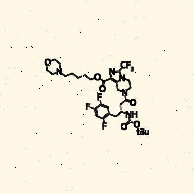 CC(C)(C)OC(=O)N[C@@H](CC(=O)N1CCn2c(C(F)(F)F)nc(C(=O)OCCCCCN3CCOCC3)c2C1)Cc1cc(F)c(F)cc1F